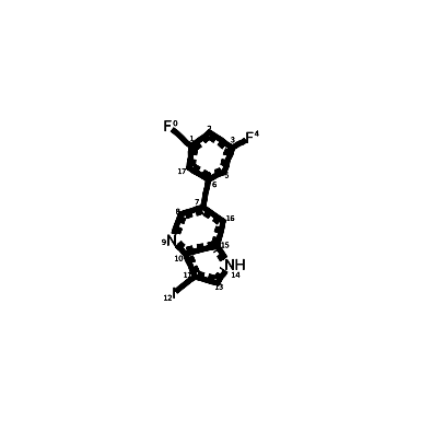 Fc1cc(F)cc(-c2cnc3c(I)c[nH]c3c2)c1